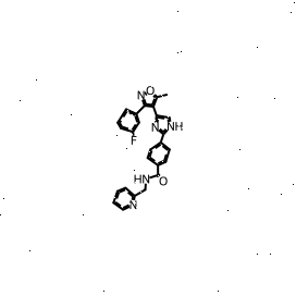 Cc1onc(-c2cccc(F)c2)c1-c1c[nH]c(-c2ccc(C(=O)NCc3ccccn3)cc2)n1